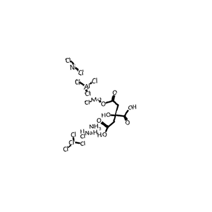 Cl.N.O=C(O)CC(O)(CC(=O)[O][Mo][Cl])C(=O)O.[Cl][Al]([Cl])[Cl].[Cl][Cr]([Cl])[Cl].[Cl][Ni][Cl].[NaH]